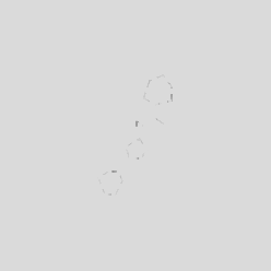 Cc1c(NC(=O)c2ccccc2)sc2c1-c1ccccc1CC2